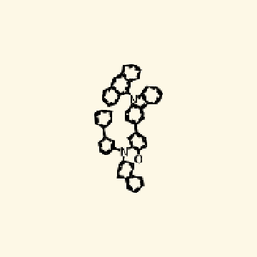 c1ccc(-c2cccc(N3c4cc(-c5ccc6c(c5)c5ccccc5n6-c5c6ccccc6cc6ccccc56)ccc4Oc4c3ccc3ccccc43)c2)cc1